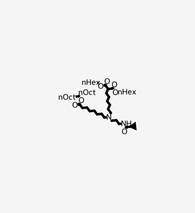 CCCCCCCCC(CCCCCCCC)OC(=O)CCCCCCCN(CCCCCCC(C(=O)OCCCCCC)C(=O)OCCCCCC)CCCNC(=O)C1CC1